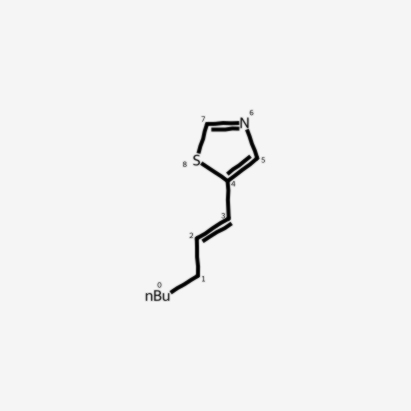 CCCCCC=Cc1cncs1